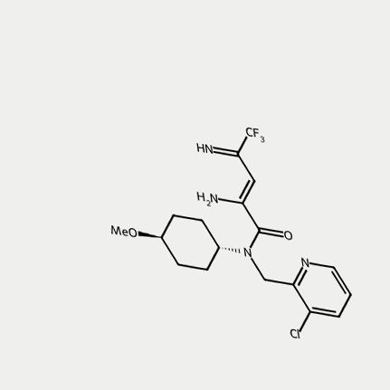 CO[C@H]1CC[C@H](N(Cc2ncccc2Cl)C(=O)/C(N)=C/C(=N)C(F)(F)F)CC1